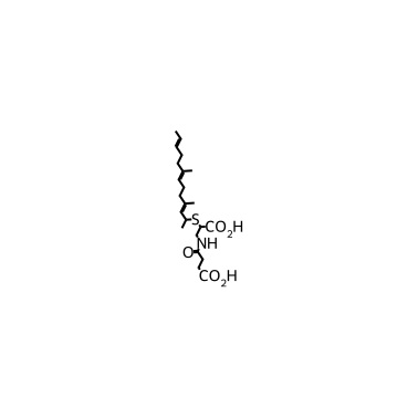 CC=CCC/C(C)=C/CC/C(C)=C/C(C)SC(CNC(=O)CCC(=O)O)C(=O)O